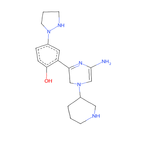 NC1=CN(C2CCCNC2)CC(c2cc(N3CCCN3)ccc2O)=N1